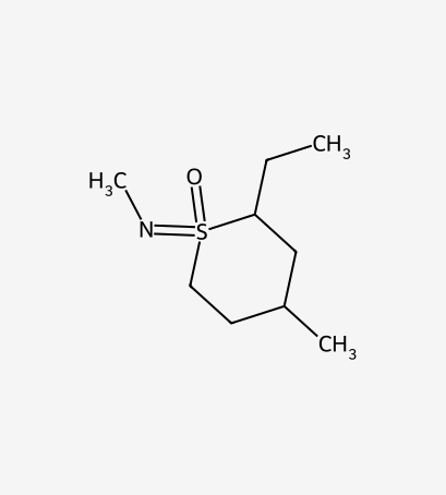 CCC1CC(C)CCS1(=O)=NC